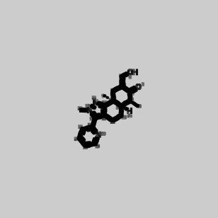 C[C@@H]1C(=O)/C(=C\O)C[C@]2(C)c3nn(C)c(-c4ccccn4)c3CC[C@@H]12